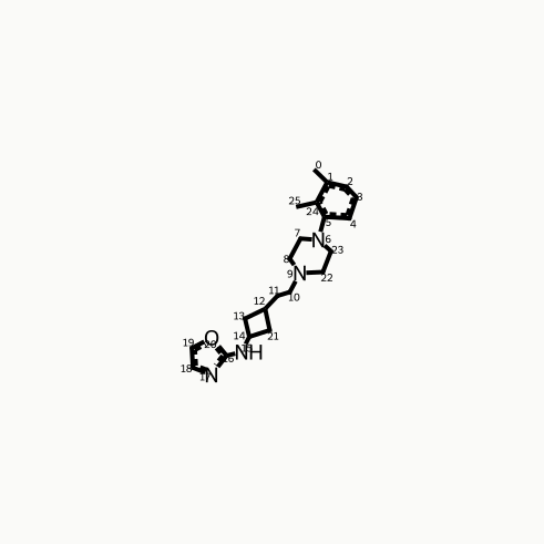 Cc1cccc(N2CCN(CCC3CC(Nc4ncco4)C3)CC2)c1C